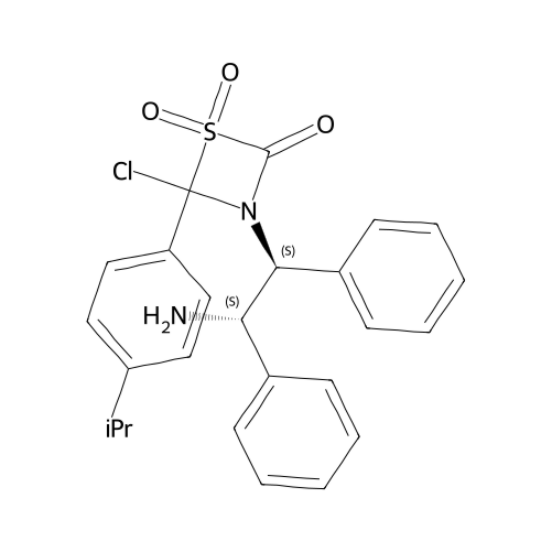 CC(C)c1ccc(C2(Cl)N([C@@H](c3ccccc3)[C@@H](N)c3ccccc3)C(=O)S2(=O)=O)cc1